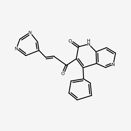 O=C(/C=C/c1cncnc1)c1c(-c2ccccc2)c2cnccc2[nH]c1=O